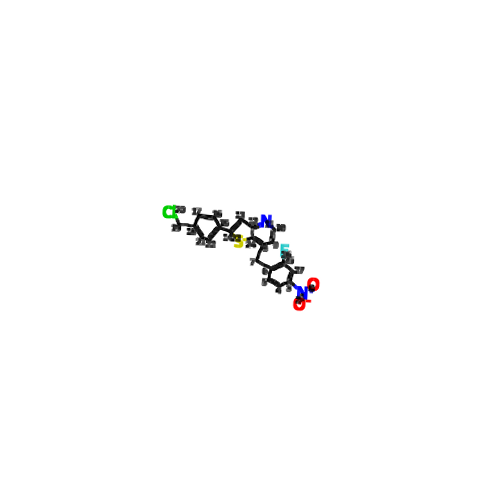 O=[N+]([O-])c1ccc(Cc2ccnc3cc(-c4ccc(CCl)cc4)sc23)c(F)c1